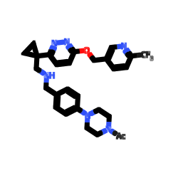 CC(=O)N1CCN(c2ccc(CNCC3(c4ccc(OCc5ccc(C(F)(F)F)nc5)nn4)CC3)cc2)CC1